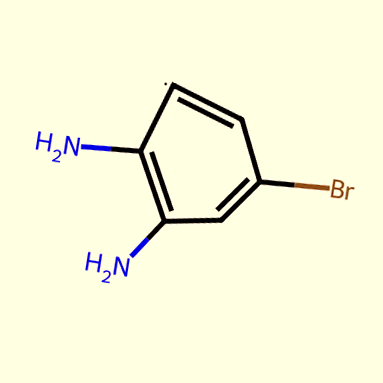 Nc1[c]cc(Br)cc1N